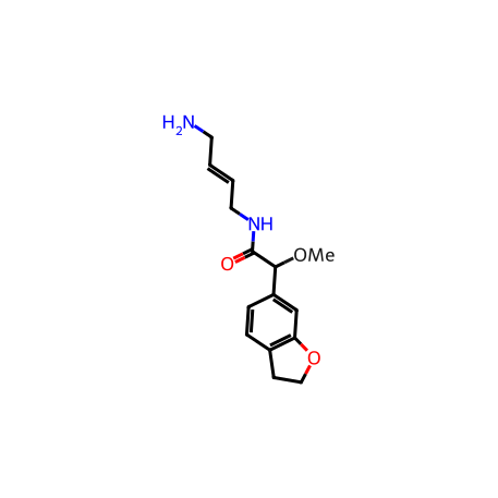 COC(C(=O)NCC=CCN)c1ccc2c(c1)OCC2